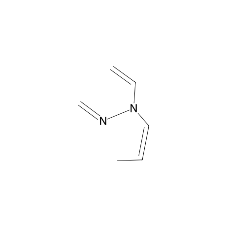 C=CN(/C=C\C)N=C